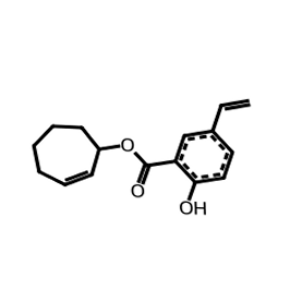 C=Cc1ccc(O)c(C(=O)OC2C=CCCCC2)c1